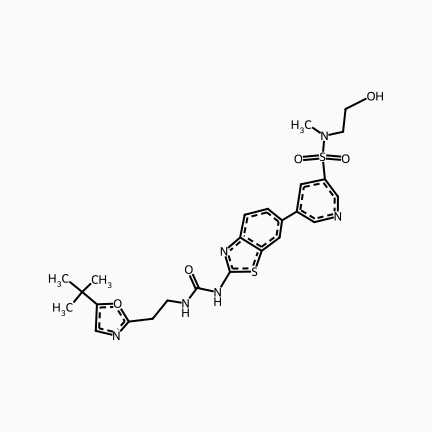 CN(CCO)S(=O)(=O)c1cncc(-c2ccc3nc(NC(=O)NCCc4ncc(C(C)(C)C)o4)sc3c2)c1